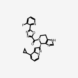 O=C(c1nnc(-c2ncccc2F)o1)N1CCc2[nH]cnc2[C@H]1c1cc2c(C3CC3)cccn2n1